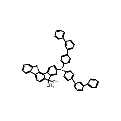 CC1(C)c2cc(N(c3ccc(-c4cccc(-c5ccccc5)c4)cc3)c3ccc(-c4cccc(-c5ccccc5)c4)cc3)ccc2-c2c1ccc1c2sc2ccccc21